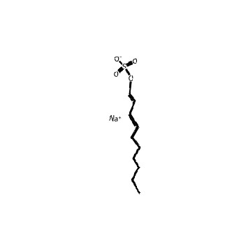 CCCCCCC=CC=COS(=O)(=O)[O-].[Na+]